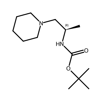 C[C@H](CN1CCCCC1)NC(=O)OC(C)(C)C